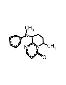 CC1CCC(N(C)c2ccccc2)c2nccc(=O)n21